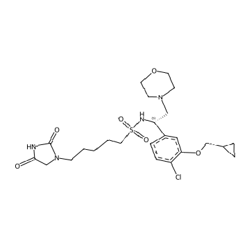 O=C1CN(CCCCCS(=O)(=O)N[C@H](CN2CCOCC2)c2ccc(Cl)c(OCC3CC3)c2)C(=O)N1